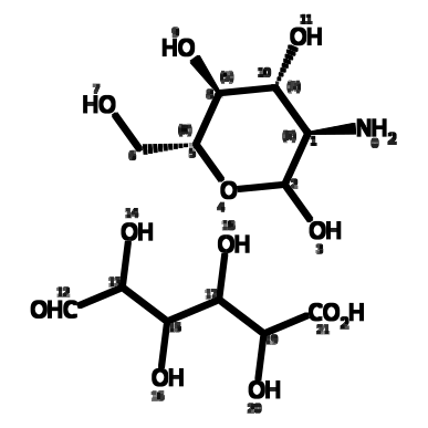 N[C@H]1C(O)O[C@H](CO)[C@@H](O)[C@@H]1O.O=CC(O)C(O)C(O)C(O)C(=O)O